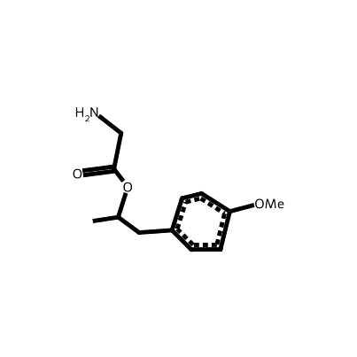 COc1ccc(CC(C)OC(=O)CN)cc1